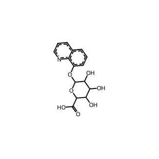 O=C(O)C1OC(Oc2cccc3cccnc23)C(O)C(O)C1O